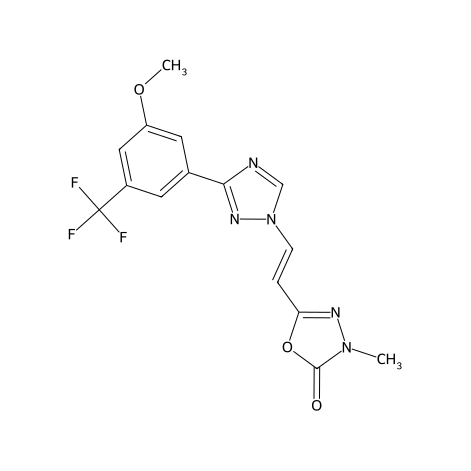 COc1cc(-c2ncn(C=Cc3nn(C)c(=O)o3)n2)cc(C(F)(F)F)c1